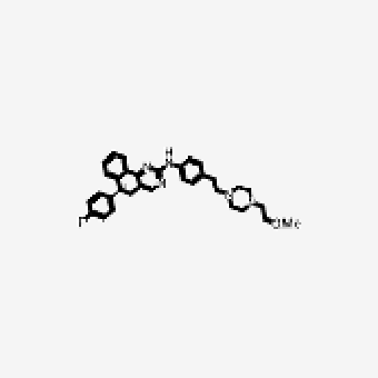 COCCN1CCN(CCc2ccc(Nc3ncc4c(n3)-c3ccccc3[C@H](c3ccc(F)cc3)C4)cc2)CC1